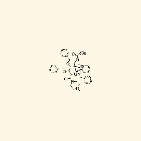 CN1CCN(C(=O)C(OCc2ccccc2)C(OCc2ccccc2)C(OCc2ccccc2)C(O)(COCc2ccccc2)COC(=O)C(C)(C)C)CC1